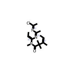 C/C=C(/C)C(C)(C)C(=O)N(C)C(=C/C)/N=C(C)\N=C(/C)Cl